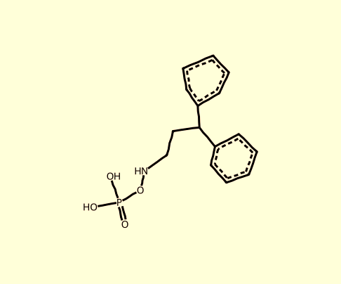 O=P(O)(O)ONCCC(c1ccccc1)c1ccccc1